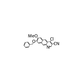 COc1cc2cc3c(Cl)c(C#N)cnc3cc2cc1OCc1ccccc1